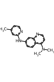 Cc1ccnc(Nc2ccc3c(N(C)C)ccnc3c2)c1